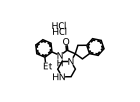 CCc1ccccc1NC(=O)C1(N2CCNCC2)Cc2ccccc2C1.Cl.Cl